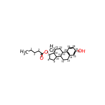 CCCCC(=O)O[C@H]1CCC2C3CCc4cc(O)ccc4C3CC[C@@]21C